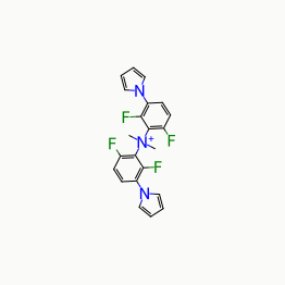 C[N+](C)(c1c(F)ccc(-n2cccc2)c1F)c1c(F)ccc(-n2cccc2)c1F